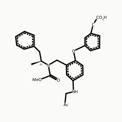 COC(=O)N(Cc1cc(NCC(C)=O)ccc1Oc1cccc(CC(=O)O)c1)[C@@H](C)Cc1ccccc1